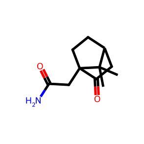 CC1(C)C2CCC1(CC(N)=O)C(=O)C2